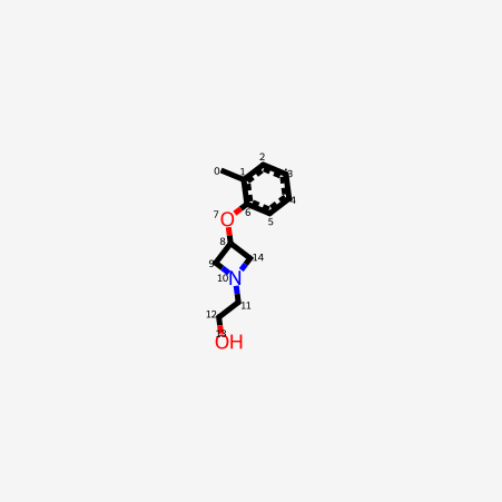 Cc1c[c]ccc1OC1CN(CCO)C1